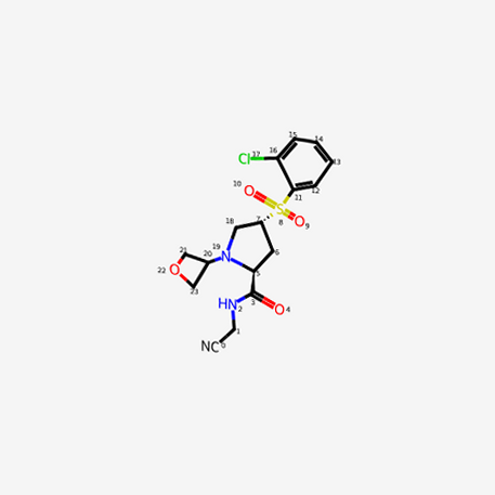 N#CCNC(=O)[C@@H]1C[C@@H](S(=O)(=O)c2ccccc2Cl)CN1C1COC1